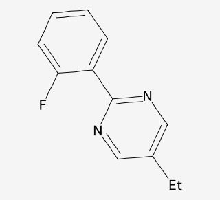 CCc1cnc(-c2ccccc2F)nc1